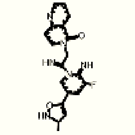 CC1C=C(c2cc(F)c(=N)n(C(=N)Cn3ccc4ncccc4c3=O)c2)ON1